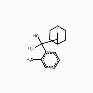 Cc1ccccc1C(C)(O)C1CN2CCC1CC2